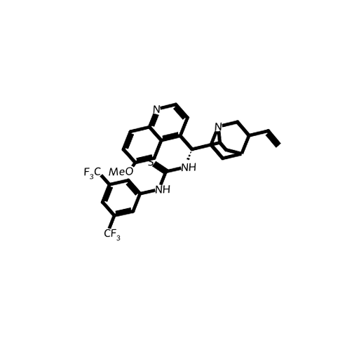 C=CC1CN2CCC1CC2[C@H](NC(=S)Nc1cc(C(F)(F)F)cc(C(F)(F)F)c1)c1ccnc2ccc(OC)cc12